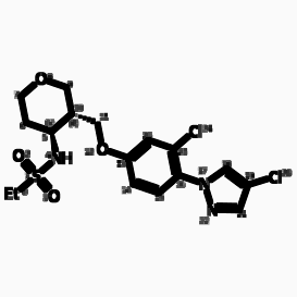 CCS(=O)(=O)N[C@H]1CCOC[C@@H]1COc1ccc(-n2cc(Cl)cn2)c(Cl)c1